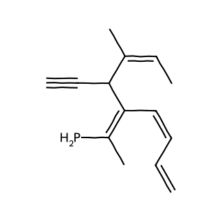 C#CC(/C(C)=C\C)C(/C=C\C=C)=C(/C)P